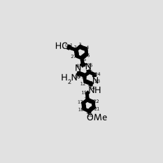 C#Cc1cccc(-c2nc(N)c3cc(NCc4ccc(OC)cc4)ncc3n2)c1